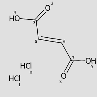 Cl.Cl.O=C(O)C=CC(=O)O